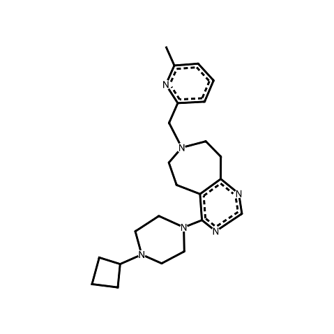 Cc1cccc(CN2CCc3ncnc(N4CCN(C5CCC5)CC4)c3CC2)n1